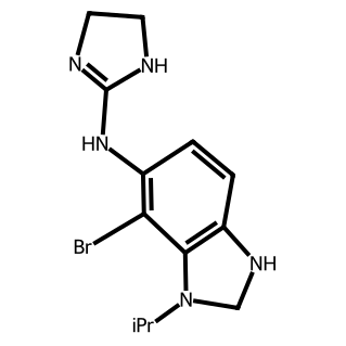 CC(C)N1CNc2ccc(NC3=NCCN3)c(Br)c21